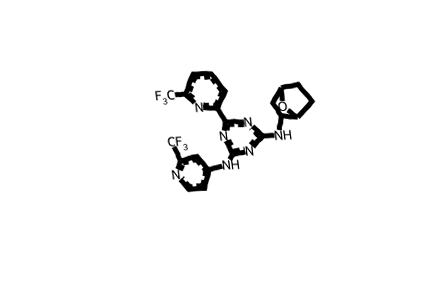 FC(F)(F)c1cc(Nc2nc(NC3CC4CCC3O4)nc(-c3cccc(C(F)(F)F)n3)n2)ccn1